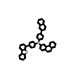 c1ccc2cc(-c3ccc(N(c4ccc(-c5cccc6c5oc5ccccc56)cc4)c4ccc5ccc6ccccc6c5c4)cc3)ccc2c1